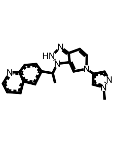 CC(c1ccc2ncccc2c1)N1NN=C2C=CN(c3cnn(C)c3)C=C21